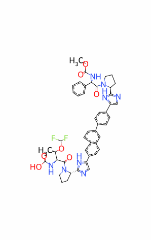 COC(=O)N[C@@H](C(=O)N1CCC[C@H]1c1ncc(-c2ccc(-c3ccc4cc(-c5cnc([C@@H]6CCCN6C(=O)[C@@H](NC(=O)O)[C@@H](C)OC(F)F)[nH]5)ccc4c3)cc2)[nH]1)c1ccccc1